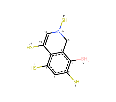 Bc1c(S)cc(S)c2c1CN(S)C=C2S